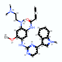 C=C=CC(=O)Nc1cc(Nc2nccc(-c3cn(C)c4ccccc34)n2)c(OCC)cc1N(C)CCN(C)C